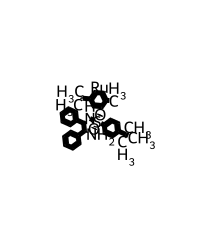 CC(C)(C)c1ccc(S(=O)(=O)N[C@H](c2ccccc2)[C@H](N)c2ccccc2)cc1.Cc1ccc(C(C)C)cc1.[Ru]